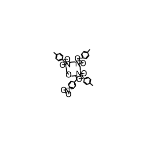 Cc1ccc(S(=O)(=O)N2CCOCC(Cc3ccc([N+](=O)[O-])cc3)N(S(=O)(=O)c3ccc(C)cc3)CCN(S(=O)(=O)c3ccc(C)cc3)CC2)cc1